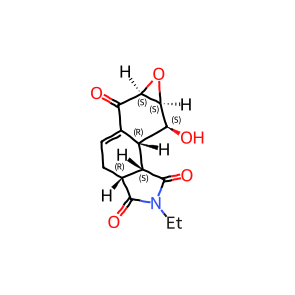 CCN1C(=O)[C@H]2[C@@H]3C(=CC[C@H]2C1=O)C(=O)[C@H]1O[C@H]1[C@H]3O